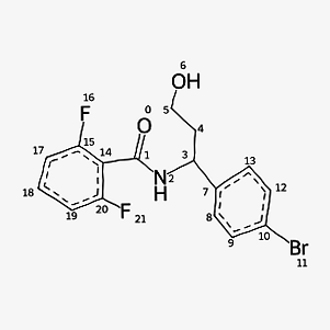 O=C(NC(CCO)c1ccc(Br)cc1)c1c(F)cccc1F